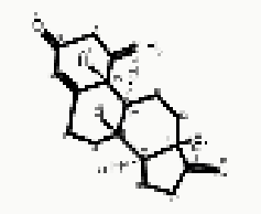 C=C1CC(=O)C=C2CC[C@@H]3[C@H](CC[C@]4(CC)C(=O)CC[C@@H]34)[C@@H]12